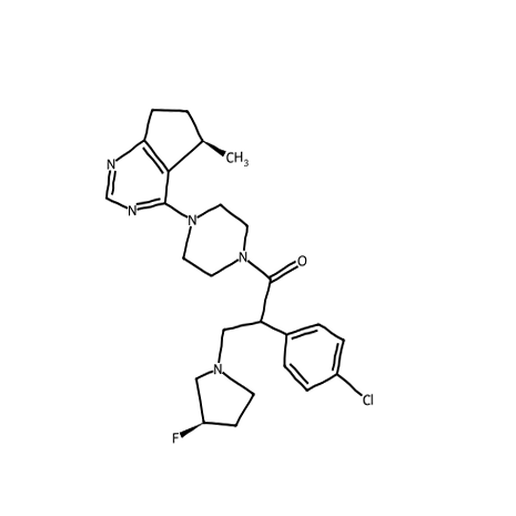 C[C@@H]1CCc2ncnc(N3CCN(C(=O)C(CN4CC[C@@H](F)C4)c4ccc(Cl)cc4)CC3)c21